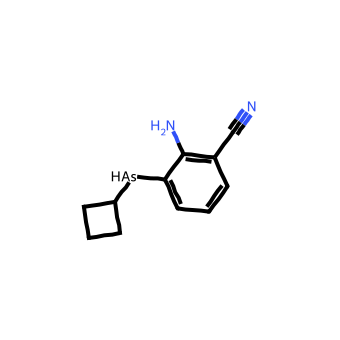 N#Cc1cccc([AsH]C2CCC2)c1N